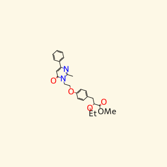 CCOC(Cc1ccc(OCCn2c(C)nc(-c3ccccc3)cc2=O)cc1)C(=O)OC